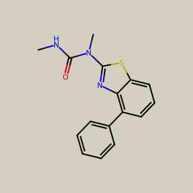 CNC(=O)N(C)c1nc2c(-c3ccccc3)cccc2s1